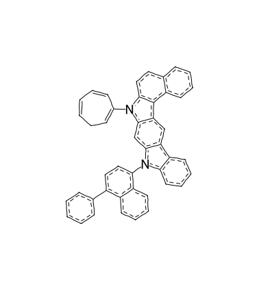 C1=CCC=C(n2c3cc4c(cc3c3c5ccccc5ccc32)c2ccccc2n4-c2ccc(-c3ccccc3)c3ccccc23)C=C1